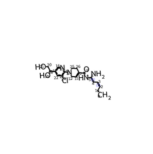 C=C/C=C\C=C(/N)NC(=O)C1=CCN(c2ncc([C@H](O)CO)cc2Cl)CC1